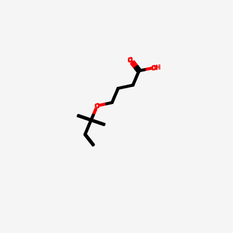 CCC(C)(C)OCCCC(=O)O